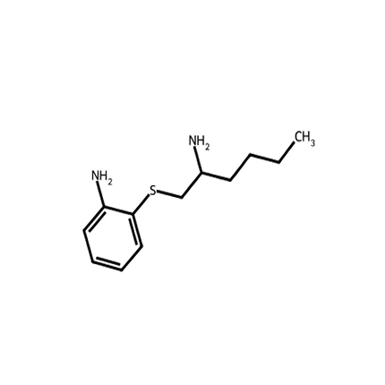 CCCCC(N)CSc1ccccc1N